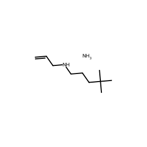 C=CCNCCCC(C)(C)C.N